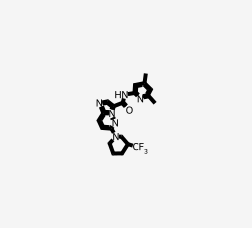 Cc1cc(C)nc(NC(=O)c2cnc3ccc(N4CCCC(C(F)(F)F)C4)nn23)c1